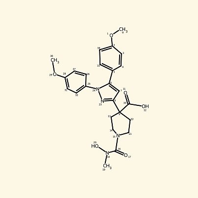 COc1ccc(-c2cc(C3(C(=O)O)CCN(C(=O)N(C)O)CC3)nn2-c2ccc(OC)cc2)cc1